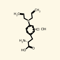 C=CCN(CC=C)c1ccc(C[C@@H](N)C(=O)O)cc1.Cl.Cl